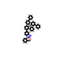 c1ccc(-c2cccc([Si](c3ccccc3)(c3cccc(-c4ccccc4)c3)c3cccc(-c4ccc5c(c4)nc4n5-c5ccccc5CO4)c3)c2)cc1